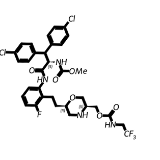 COC(=O)N[C@H](C(=O)Nc1cccc(F)c1CC[C@@H]1CN[C@H](COC(=O)NCC(F)(F)F)CO1)C(c1ccc(Cl)cc1)c1ccc(Cl)cc1